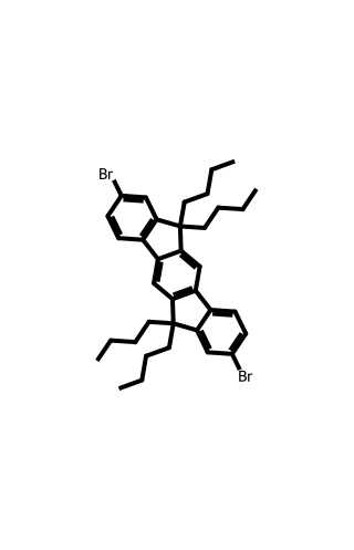 CCCCC1(CCCC)c2cc(Br)ccc2-c2cc3c(cc21)-c1ccc(Br)cc1C3(CCCC)CCCC